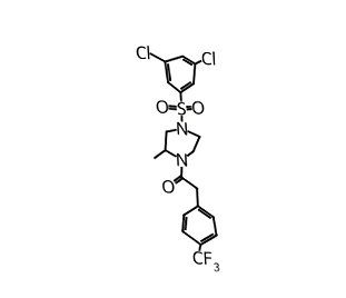 CC1CN(S(=O)(=O)c2cc(Cl)cc(Cl)c2)CCN1C(=O)Cc1ccc(C(F)(F)F)cc1